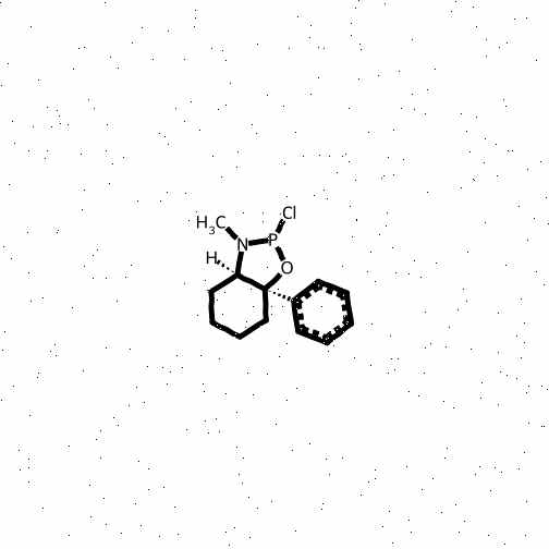 CN1[C@@H]2CCCC[C@]2(c2ccccc2)OP1Cl